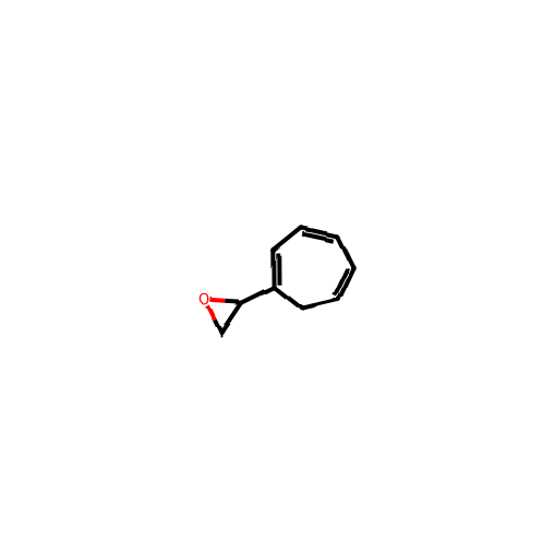 C1=CC=C(C2CO2)CC=C1